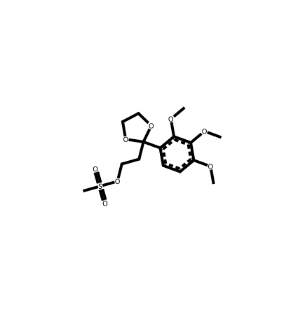 COc1ccc(C2(CCOS(C)(=O)=O)OCCO2)c(OC)c1OC